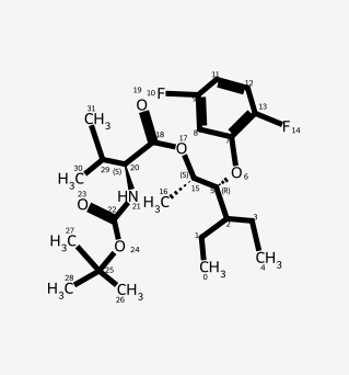 CCC(CC)[C@@H](Oc1cc(F)ccc1F)[C@H](C)OC(=O)[C@@H](NC(=O)OC(C)(C)C)C(C)C